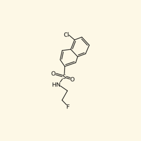 O=S(=O)(NCCF)c1ccc2c(Cl)cccc2c1